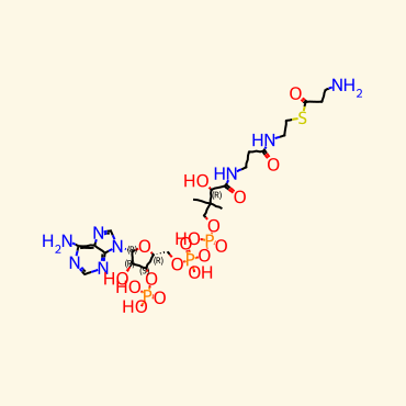 CC(C)(COP(=O)(O)OP(=O)(O)OC[C@H]1O[C@@H](n2cnc3c(N)ncnc32)[C@H](O)[C@@H]1OP(=O)(O)O)[C@@H](O)C(=O)NCCC(=O)NCCSC(=O)CCN